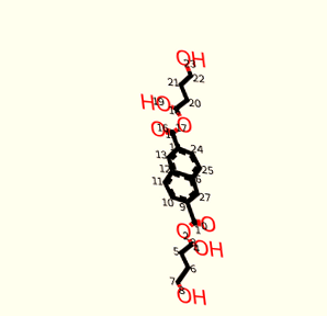 O=C(OC(O)CCCO)c1ccc2cc(C(=O)OC(O)CCCO)ccc2c1